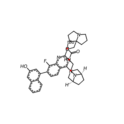 CC(C)(C)OC(=O)NCCN1[C@@H]2CC[C@H]1CN(c1nc(OCC34CCCN3CCC4)nc3c(F)c(-c4cc(O)cc5ccccc45)ccc13)C2